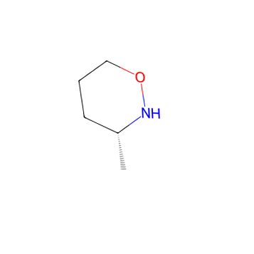 C[C@@H]1CCCON1